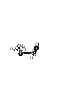 CC(C)(C)OC(=O)N1CCC[C@@H]1CCCCCNS(=O)(=O)Cc1ccc(Cl)cc1